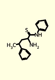 CC(CC(N)C(=S)Nc1ccccc1)c1ccccc1